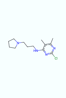 Cc1nc(Cl)nc(NCCCN2CCCC2)c1C